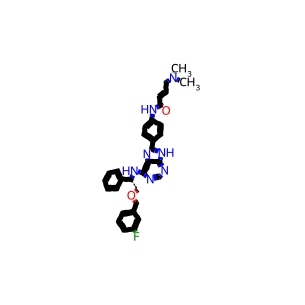 CN(C)C/C=C/C(=O)Nc1ccc(-c2nc3c(N[C@H](COCc4cccc(F)c4)c4ccccc4)ncnc3[nH]2)cc1